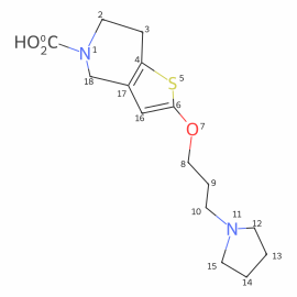 O=C(O)N1CCc2sc(OCCCN3CCCC3)cc2C1